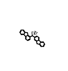 CCC(c1ccc2c(c1)Cc1ccccc1-2)c1cccc2c1Cc1ccccc1-2.[Zr]